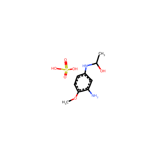 COc1ccc(NC(C)O)cc1N.O=S(=O)(O)O